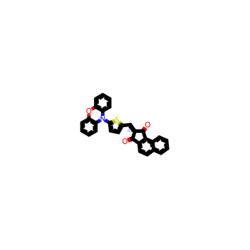 O=C1/C(=C\c2ccc(N3c4ccccc4Oc4ccccc43)s2)C(=O)c2c1ccc1ccccc21